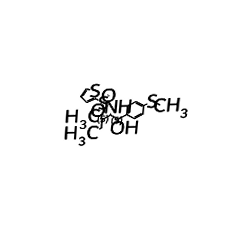 CC[C@H](C)C(NS(=O)(=O)c1cccs1)[C@@H](O)c1ccc(SC)cc1